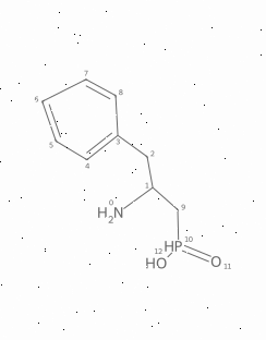 NC(Cc1ccccc1)C[PH](=O)O